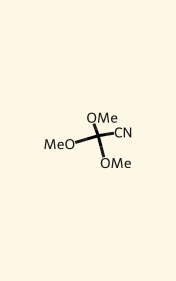 COC(C#N)(OC)OC